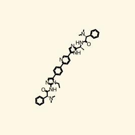 CCn1c(-c2ccc(-c3ccc(-c4cnc([C@H](C)NC(=O)[C@@H](c5ccccc5)N(C)C)[nH]4)cn3)cc2)cnc1NC(=O)[C@@H](c1ccccc1)N(C)C